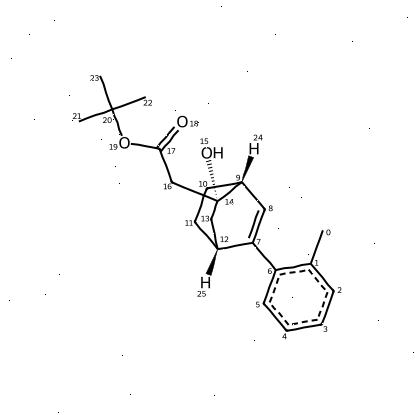 Cc1ccccc1C1=C[C@H]2CC[C@@H]1C[C@@]2(O)CC(=O)OC(C)(C)C